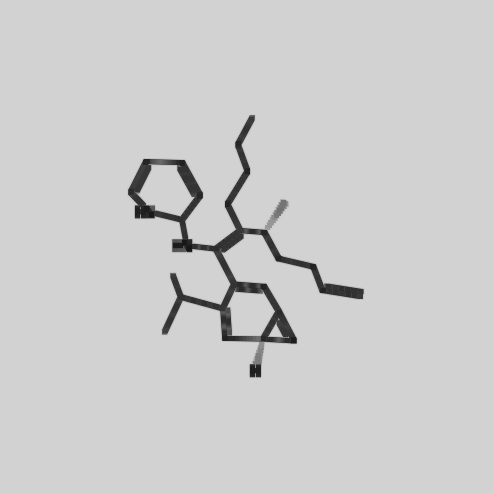 C=CCC[C@@H](C)/C(CCCC)=C(/NC1C=CC=CN1)C1=CC2=C[C@H]2C=C1C(C)C